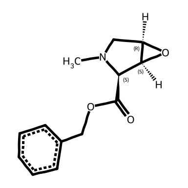 CN1C[C@H]2O[C@H]2[C@H]1C(=O)OCc1ccccc1